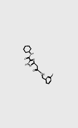 O=C(Cc1n[nH]c(C(=O)NC2CCCCC2)n1)NCc1cccc(F)c1